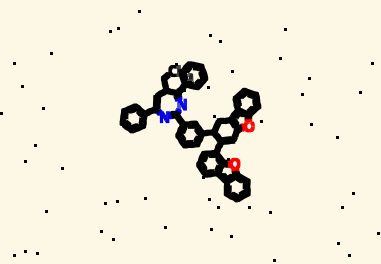 CCC1C=C(c2ccccc2)N=C(c2cccc(C3Cc4c(oc5ccccc45)C=C3c3cccc4c3oc3ccccc34)c2)N=C1c1ccccc1